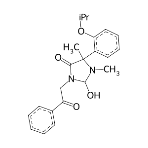 CC(C)Oc1ccccc1C1(C)C(=O)N(CC(=O)c2ccccc2)C(O)N1C